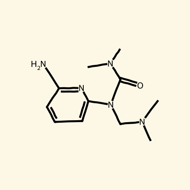 CN(C)CN(C(=O)N(C)C)c1cccc(N)n1